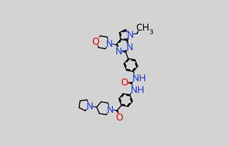 CCn1ccc2c(N3CCOCC3)nc(-c3ccc(NC(=O)Nc4ccc(C(=O)N5CCC(N6CCCC6)CC5)cc4)cc3)nc21